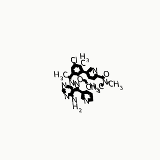 CCOc1c(C(C)n2nc(-c3cccnc3)c3c(N)ncnc32)cc(Cl)c(C)c1-c1ccc(C(=O)N(C)C)nc1